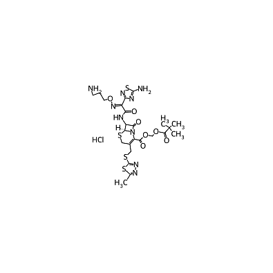 Cc1nnc(SCC2=C(C(=O)OCOC(=O)C(C)(C)C)N3C(=O)C(NC(=O)C(=NOCCCN)c4nsc(N)n4)[C@@H]3SC2)s1.Cl